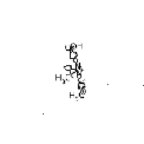 COc1ccc(CCN2CCN(C3CC4(CCN(C(=O)O)CC4)C3)C(c3ccccc3C(C)C)C2)cc1